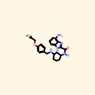 C#CCOc1ccc(CNC2CCCC(N(CC)C(=O)c3nc4c(N)cccc4[nH]3)C2)cc1